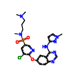 CN(C)CCCN(C)S(=O)(=O)c1cnc(Oc2ccc3ncnc(Nc4ccn(C)n4)c3c2)c(Cl)c1